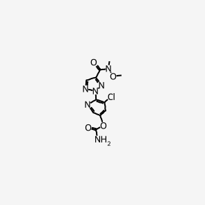 CON(C)C(=O)c1cnn(-c2ncc(OC(N)=O)cc2Cl)n1